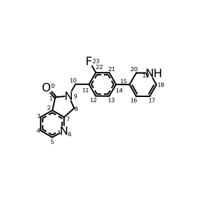 O=C1c2cccnc2CN1Cc1ccc(C2=CC=CNC2)cc1F